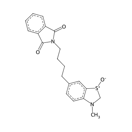 CN1C[S+]([O-])c2cc(CCCCN3C(=O)c4ccccc4C3=O)ccc21